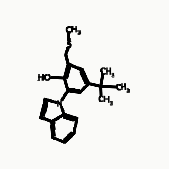 CSCc1cc(C(C)(C)C)cc(-n2ccc3ccccc32)c1O